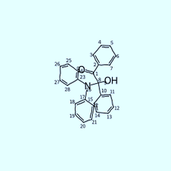 O=C(c1ccccc1)C(O)(c1ccccc1)N(c1ccccc1)c1ccccc1